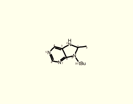 CC1Nc2cncnc2N1C(C)(C)C